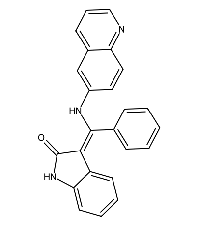 O=C1Nc2ccccc2C1=C(Nc1ccc2ncccc2c1)c1ccccc1